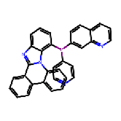 c1cnc2cc(P(c3ccncc3)c3cccc4nc5c6ccccc6c6ccccc6n5c34)ccc2c1